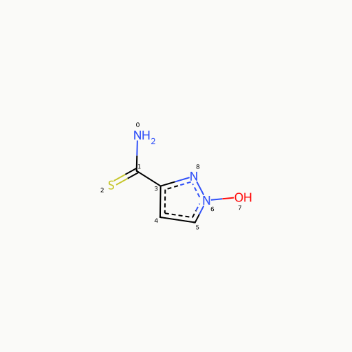 NC(=S)c1ccn(O)n1